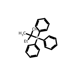 CCC(C)(C)S(c1ccccc1)(c1ccccc1)c1ccccc1